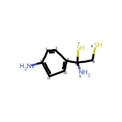 Nc1ccc(C(N)(S)CS)cc1